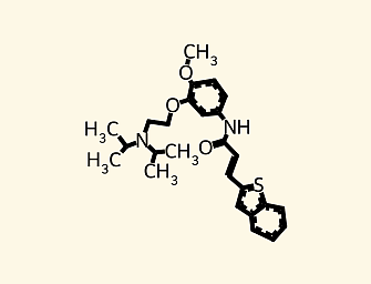 COc1ccc(NC(=O)/C=C/c2cc3ccccc3s2)cc1OCCN(C(C)C)C(C)C